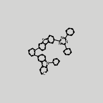 c1ccc(-c2nc(-c3ccccc3)nc(-c3ccc4sc5cc(-c6ccccc6-c6ccc7c(c6)c6ccccc6n7-c6ccccc6)ccc5c4c3)n2)cc1